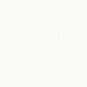 CC(C)N1CC(S(N)(=O)=O)C1I